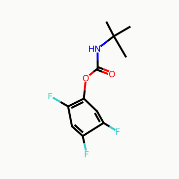 CC(C)(C)NC(=O)Oc1cc(F)c(F)cc1F